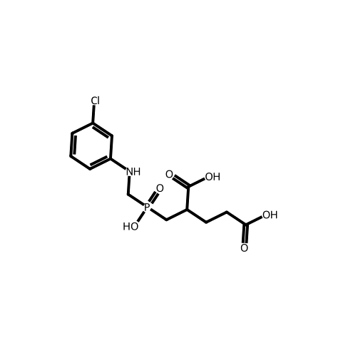 O=C(O)CCC(CP(=O)(O)CNc1cccc(Cl)c1)C(=O)O